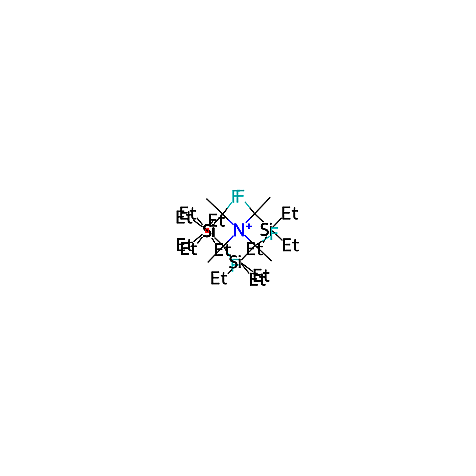 CC[Si](CC)(CC)C(C)(F)[N+](C(C)(F)[Si](CC)(CC)CC)(C(C)(F)[Si](CC)(CC)CC)C(C)(F)[Si](CC)(CC)CC